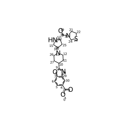 COC(=O)c1ccc2oc(C3CCN([C@@H]4CN[C@H](C(=O)N5CCSC5)C4)CC3)nc2c1